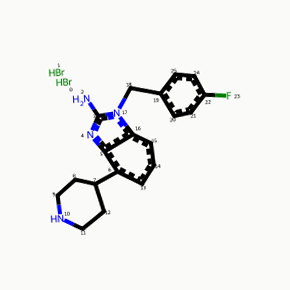 Br.Br.Nc1nc2c(C3CCNCC3)cccc2n1Cc1ccc(F)cc1